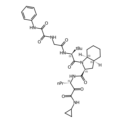 CCC[C@H](NC(=O)[C@@H]1C[C@@H]2CCCC[C@@H]2N1C(=O)[C@@H](NC(=O)CNC(=O)C(=O)Nc1ccccc1)C(C)(C)C)C(=O)C(=O)NC1CC1